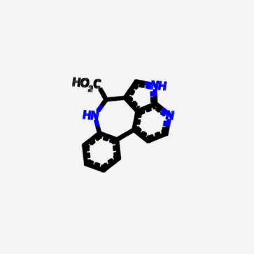 O=C(O)C1Nc2ccccc2-c2ccnc3[nH]cc1c23